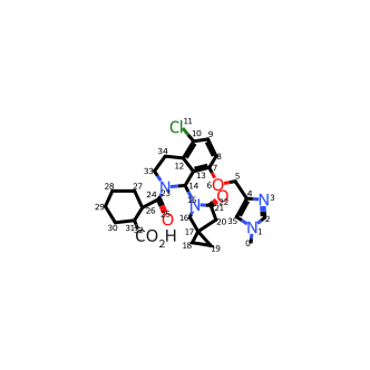 Cn1cnc(COc2ccc(Cl)c3c2C(N2CC4(CC4)CC2=O)N(C(=O)C2CCCCC2C(=O)O)CC3)c1